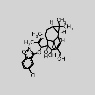 CC1=C[C@]23C(=O)[C@@H](C=C(CO)[C@@H](O)[C@]2(O)[C@H]1Oc1noc2ccc(Cl)cc12)[C@H]1[C@@H](C[C@H]3C)C1(C)C